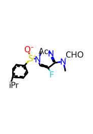 CC(=O)/N=C(\C(F)=C/N(C)[S+]([O-])c1ccc(C(C)C)cc1)N(C)C=O